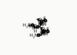 COc1cccc(S(=O)(=O)Nc2ccc(Cc3nc4c([nH]3)c(=O)n(Cc3ccccc3F)c(=O)n4CC3CC3)cc2)c1.Nc1ccc(Cc2nc3c([nH]2)c(=O)n(Cc2ccccc2F)c(=O)n3CC2CC2)cc1